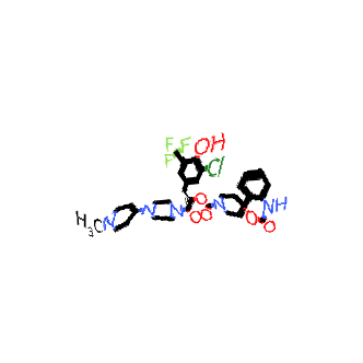 CN1CCC(N2CCN(C(=O)[C@@H](Cc3cc(Cl)c(O)c(C(F)(F)F)c3)OC(=O)N3CCC4(CC3)OC(=O)Nc3ccccc34)CC2)CC1